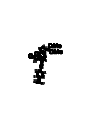 COC(OC)C1CCC2N1C1C=C(C#Cc3ccc(N(C)C)cc3)C3=CC(=O)OC32C1